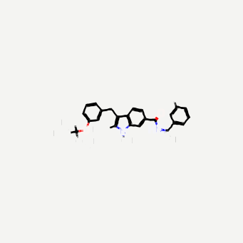 CCc1cccc([C@H](C)NC(=O)c2ccc3c(Cc4cccc(OC(C)(C)C(=O)O)c4)c(C)n(C)c3c2)c1